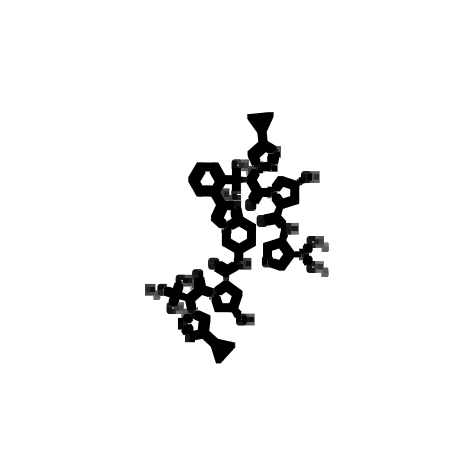 CN(C)[C@@H]1COC[C@H]1NC(=O)[C@@H]1C[C@@H](O)CN1C(=O)[C@@H](n1cc(C2CC2)nn1)C(C)(C)c1ccccc1-c1cn2c(n1)CCC(NC(=O)[C@@H]1C[C@@H](O)CN1C(=O)[C@@H](n1cc(C3CC3)nn1)C(C)(C)C)C2